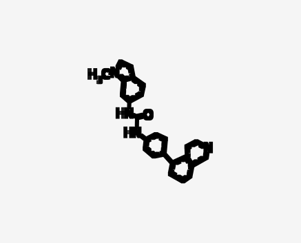 Cn1ccc2ccc(NC(=O)Nc3ccc(-c4cccc5cnccc45)cc3)cc21